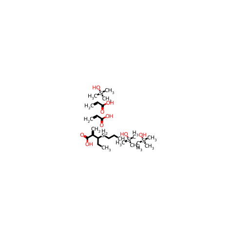 C=C(C(=O)O)C(CC)[SiH2]CCC.C=CC(=O)O.C=CC(=O)O.C[Si](C)(C)O.C[Si](C)(C)O.C[Si](C)(C)O